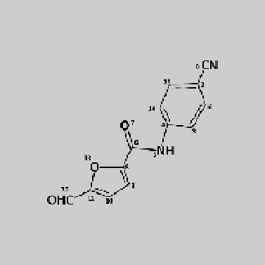 N#Cc1ccc(NC(=O)c2ccc(C=O)o2)cc1